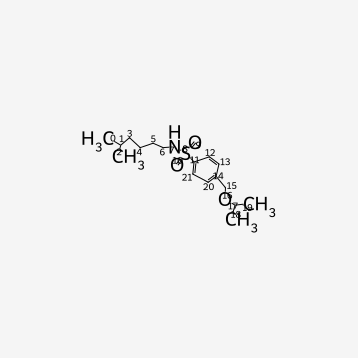 CC(C)CCCCNS(=O)(=O)c1ccc(COC(C)C)cc1